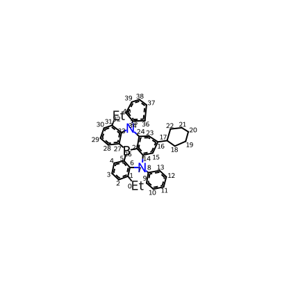 CCc1cccc2c1N(c1ccccc1)c1cc(C3CCCCC3)cc3c1B2c1cccc(CC)c1N3c1ccccc1